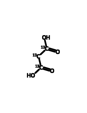 O=[13C](O)[13CH2][13C](=O)O